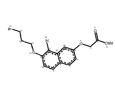 COC(=O)COc1ccc2ccc(OCCCBr)c(C(C)=O)c2c1